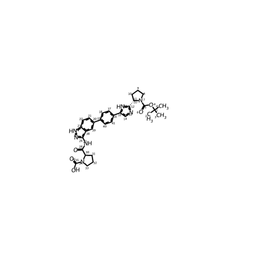 CC(C)(C)OC(=O)N1CCC[C@H]1c1ncc(-c2ccc(-c3ccc4[nH]nc(NC(=O)C5CCCN5C(=O)O)c4c3)cc2)[nH]1